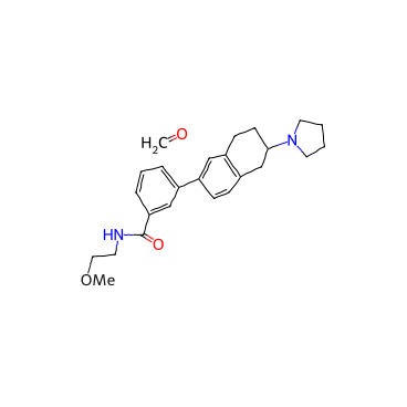 C=O.COCCNC(=O)c1cccc(-c2ccc3c(c2)CCC(N2CCCC2)C3)c1